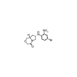 O=C1COC[C@@H]2C[C@H](Nc3ccc(Br)cc3[N+](=O)[O-])CN12